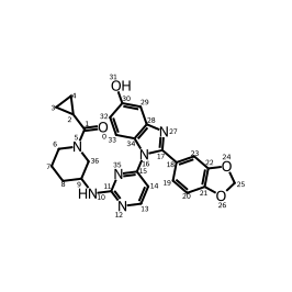 O=C(C1CC1)N1CCCC(Nc2nccc(-n3c(-c4ccc5c(c4)OCO5)nc4cc(O)ccc43)n2)C1